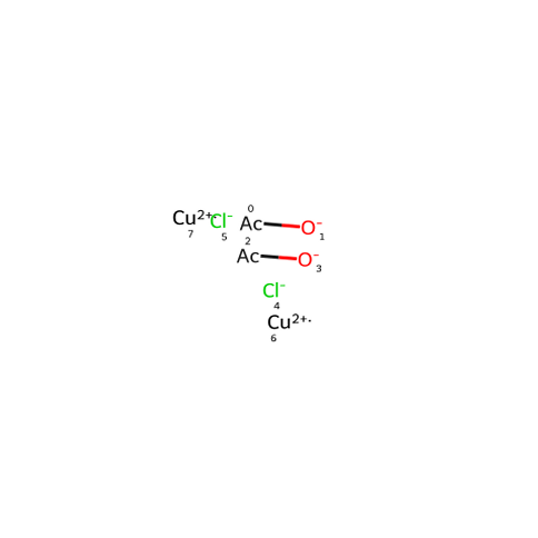 CC(=O)[O-].CC(=O)[O-].[Cl-].[Cl-].[Cu+2].[Cu+2]